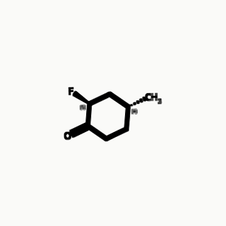 C[C@@H]1CCC(=O)[C@@H](F)C1